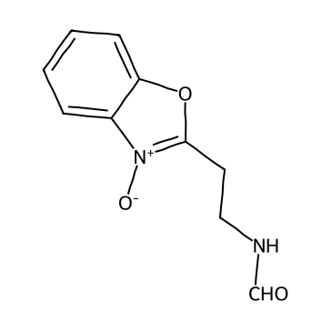 O=CNCCc1oc2ccccc2[n+]1[O-]